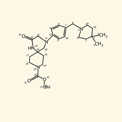 CC1(C)CCN(Cc2ccc(N3CC(=O)NC4(CCN(C(=O)OC(C)(C)C)CC4)C3)cc2)CC1